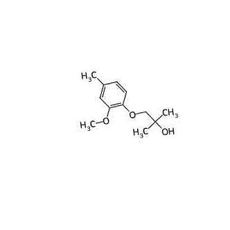 COc1cc(C)ccc1OCC(C)(C)O